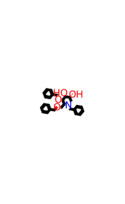 O[C@@H]1CN(Cc2ccccc2)C(COCc2ccccc2)C(OCc2ccccc2)[C@@H]1O